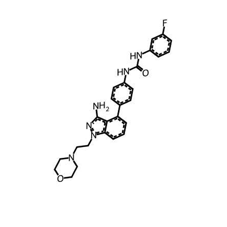 Nc1nn(CCN2CCOCC2)c2cccc(-c3ccc(NC(=O)Nc4cccc(F)c4)cc3)c12